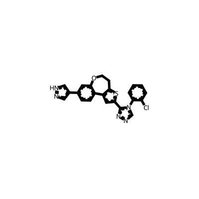 Clc1ccccc1-n1cnnc1-c1cc2c(s1)CCOc1cc(-c3cn[nH]c3)ccc1-2